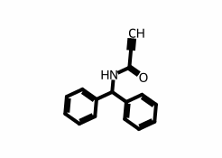 C#CC(=O)NC(c1ccccc1)c1ccccc1